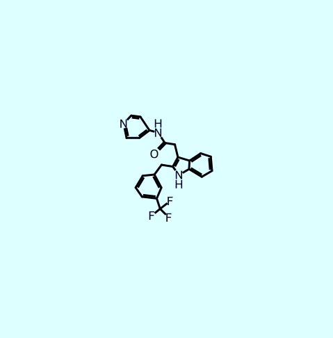 O=C(Cc1c(Cc2cccc(C(F)(F)F)c2)[nH]c2ccccc12)Nc1ccncc1